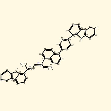 C=C/C(=C\N=C(/C)c1cccc2c3c(sc12)C=CCC3)c1cccc2c(-c3ccc(-c4cccc5c6c(sc45)C=CCC6)nc3)cccc12